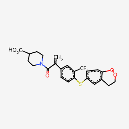 C=C(C(=O)N1CCC(C(=O)O)CC1)c1ccc(Sc2ccc3c(c2)CCOO3)c(C(F)(F)F)c1